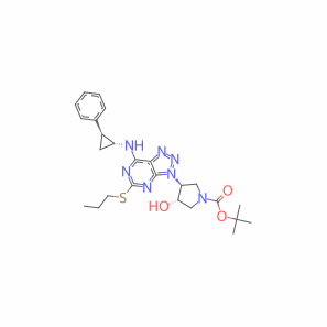 CCCSc1nc(N[C@@H]2C[C@H]2c2ccccc2)c2nnn([C@H]3CN(C(=O)OC(C)(C)C)C[C@@H]3O)c2n1